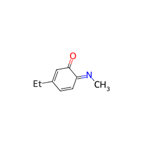 CCC1=CC(=O)/C(=N/C)C=C1